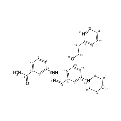 NC(=O)c1cccc(N/N=C\c2cc(N3CCOCC3)cc(OCCc3ccccn3)n2)c1